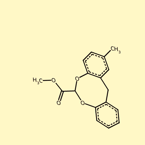 COC(=O)C1Oc2ccccc2Cc2cc(C)ccc2O1